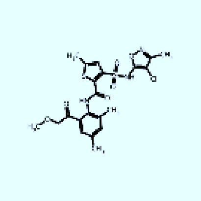 COCC(=O)c1cc(C)cc(C)c1NC(=O)c1sc(C)cc1S(=O)(=O)Nc1onc(C)c1Cl